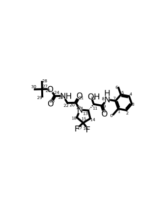 Cc1cccc(C)c1NC(=O)C(O)[C@@H]1CC(F)(F)CN1C(=O)CNC(=O)OC(C)(C)C